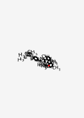 Cc1cc(C)c(C(c2cc(Cl)ccc2C)N(C(=O)O)c2ccnc(Nc3ccc(N4C[C@@H](C)N(C)[C@@H](C)C4)c(F)c3)n2)c(C)c1